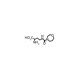 NC(CCNC(=O)N1CCCOCC1)C(=O)O